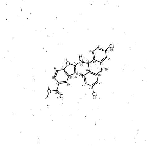 COC(=O)c1ccc2oc(N[C@@H](c3ccc(Cl)cc3)c3ncc(Cl)cc3F)nc2c1